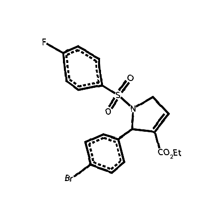 CCOC(=O)C1=CCN(S(=O)(=O)c2ccc(F)cc2)C1c1ccc(Br)cc1